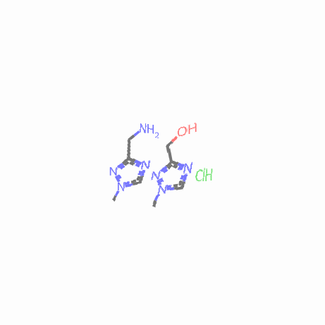 Cl.Cn1cnc(CN)n1.Cn1cnc(CO)n1